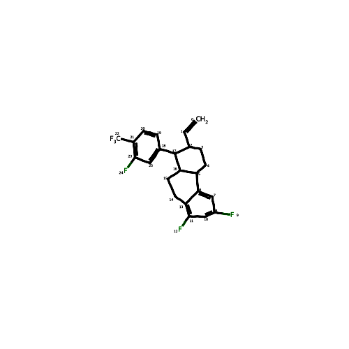 C=CC1CCC2c3cc(F)cc(F)c3CCC2C1c1ccc(C(F)(F)F)c(F)c1